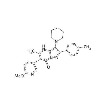 COc1ccc(-c2c(C)[nH]c3c(N4CCCCC4)c(-c4ccc(C)cc4)nn3c2=O)cn1